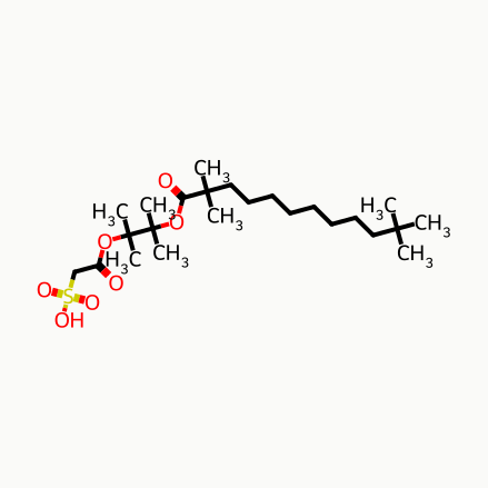 CC(C)(C)CCCCCCCCC(C)(C)C(=O)OC(C)(C)C(C)(C)OC(=O)CS(=O)(=O)O